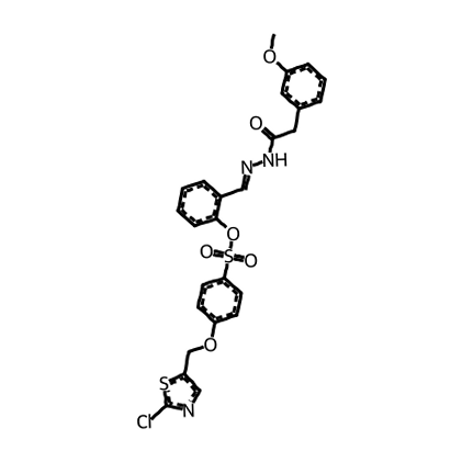 COc1cccc(CC(=O)NN=Cc2ccccc2OS(=O)(=O)c2ccc(OCc3cnc(Cl)s3)cc2)c1